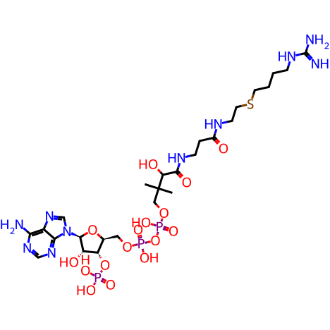 CC(C)(COP(=O)(O)OP(=O)(O)OC[C@@H]1O[C@H](n2cnc3c(N)ncnc32)[C@@H](O)[C@H]1OP(=O)(O)O)C(O)C(=O)NCCC(=O)NCCSCCCCNC(=N)N